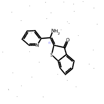 N/C(=C1/Sc2ccccc2C1=O)c1ccccn1